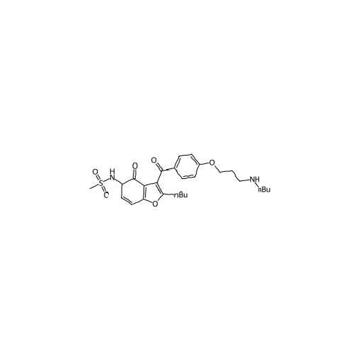 CCCCNCCCOc1ccc(C(=O)c2c(CCCC)oc3c2C(=O)C(NS(C)(=O)=O)C=C3)cc1